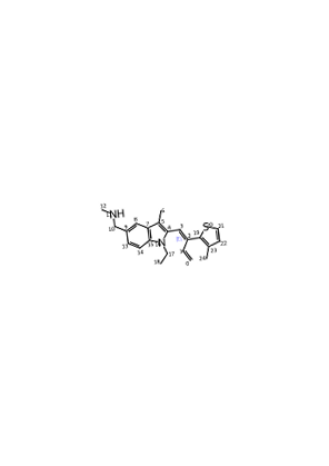 C=C/C(=C\c1c(C)c2cc(CNC)ccc2n1CC)c1sccc1C